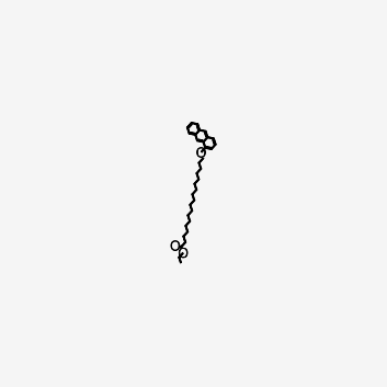 CCOC(=O)CCCCCCCCCCCCCCCCCOc1cccc2cc3ccccc3cc12